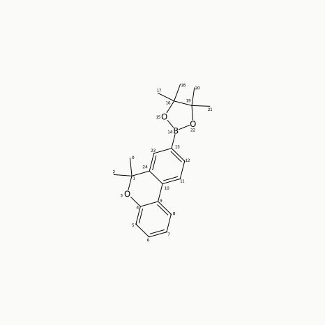 CC1(C)Oc2ccccc2-c2ccc(B3OC(C)(C)C(C)(C)O3)cc21